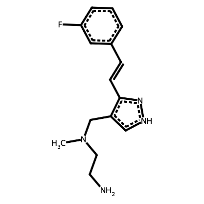 CN(CCN)Cc1c[nH]nc1/C=C/c1cccc(F)c1